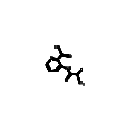 CC(Cl)C(=O)Nc1cccnc1C(=O)O